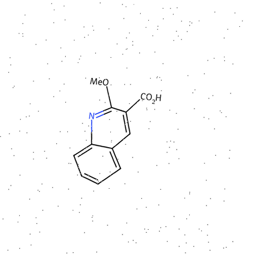 COc1nc2ccccc2cc1C(=O)O